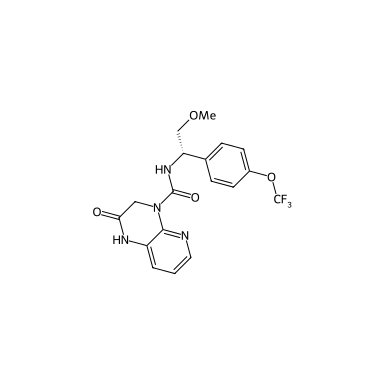 COC[C@@H](NC(=O)N1CC(=O)Nc2cccnc21)c1ccc(OC(F)(F)F)cc1